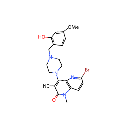 COc1ccc(CN2CCN(c3c(C#N)c(=O)n(C)c4ccc(Br)nc34)CC2)c(O)c1